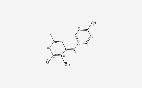 CC1=CC(=Nc2ccc(O)cc2)C(N)=C(Cl)C1